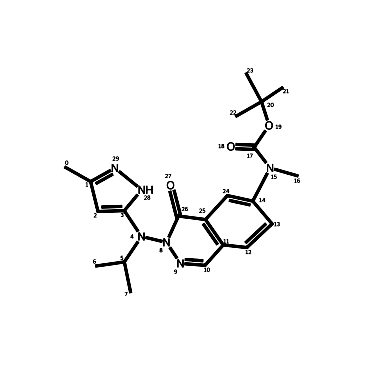 Cc1cc(N(C(C)C)n2ncc3ccc(N(C)C(=O)OC(C)(C)C)cc3c2=O)[nH]n1